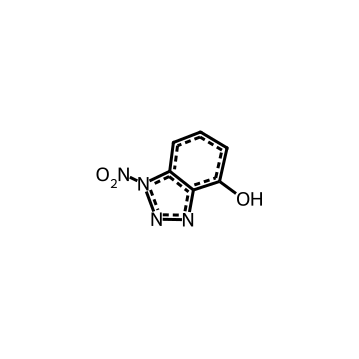 O=[N+]([O-])n1nnc2c(O)cccc21